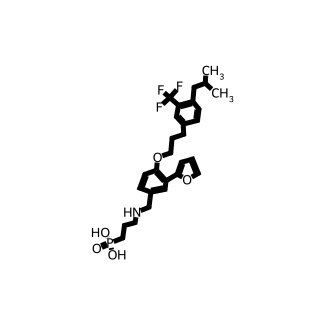 CC(C)Cc1ccc(CCCOc2ccc(CNCCCP(=O)(O)O)cc2-c2ccco2)cc1C(F)(F)F